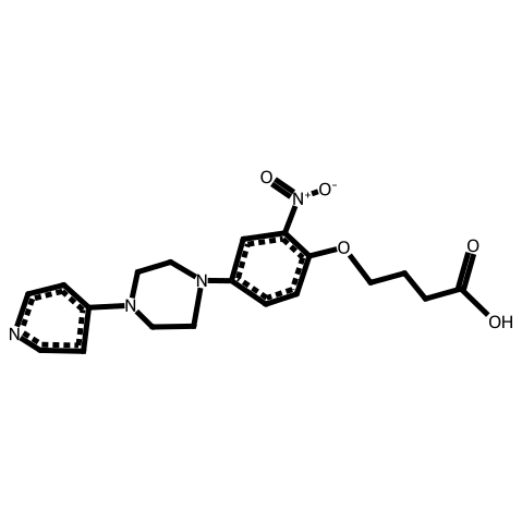 O=C(O)CCCOc1ccc(N2CCN(c3ccncc3)CC2)cc1[N+](=O)[O-]